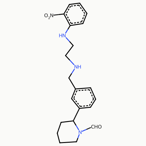 O=CN1CCCCC1c1cccc(CNCCNc2ccccc2[N+](=O)[O-])c1